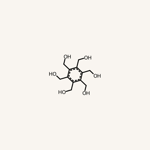 OCc1c(CO)c(CO)c(CO)c(CO)c1CO